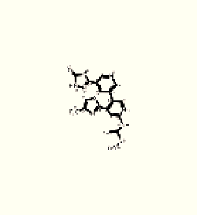 CCCNC(=O)Nc1cc(-c2nc(C(F)(F)F)cs2)c(-c2cncc(-c3n[nH]c(=O)o3)c2)cn1